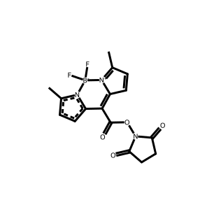 CC1=[N+]2C(=C(C(=O)ON3C(=O)CCC3=O)c3ccc(C)n3[B-]2(F)F)C=C1